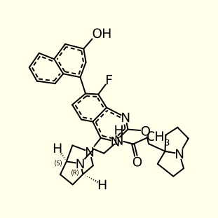 CC(=O)NCCN1[C@@H]2CC[C@H]1CN(c1nc(OCC34CCCN3CCC4)nc3c(F)c(-c4cc(O)cc5ccccc45)ccc13)C2